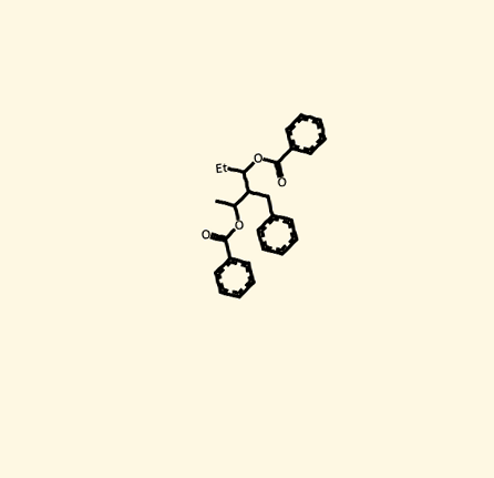 CCC(OC(=O)c1ccccc1)C(Cc1ccccc1)C(C)OC(=O)c1ccccc1